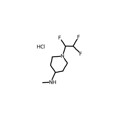 CNC1CCN(C(F)C(F)F)CC1.Cl